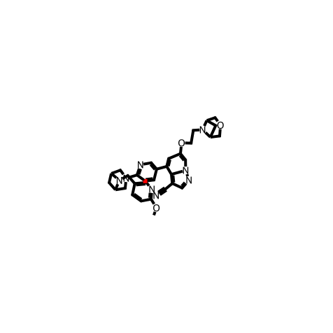 COc1ccc(CN2C3CC2CN(c2ccc(-c4cc(OCCN5C6COCC5C6)cn5ncc(C#N)c45)cn2)C3)cn1